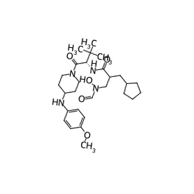 COc1ccc(NC2CCN(C(=O)[C@@H](NC(=O)C(CC3CCCC3)CN(O)C=O)C(C)(C)C)CC2)cc1